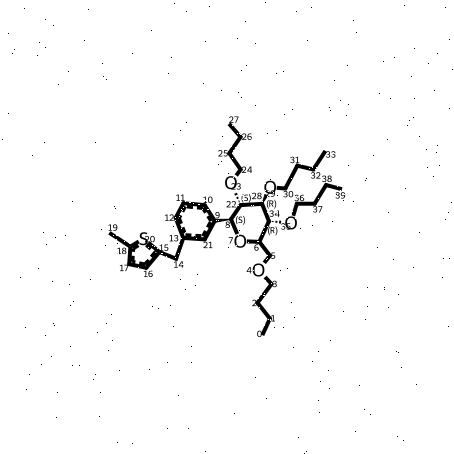 CCCCOCC1O[C@@H](c2cccc(Cc3ccc(C)s3)c2)[C@H](OCCCC)[C@@H](OCCCC)[C@@H]1OCCCC